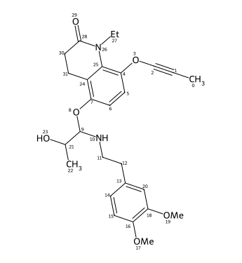 CC#COc1ccc(OC(NCCc2ccc(OC)c(OC)c2)C(C)O)c2c1N(CC)C(=O)CC2